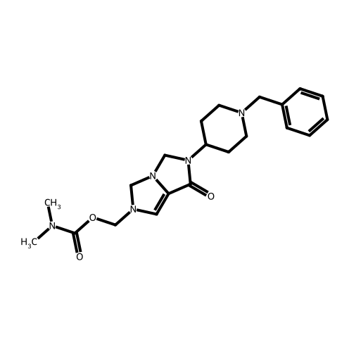 CN(C)C(=O)OCN1C=C2C(=O)N(C3CCN(Cc4ccccc4)CC3)CN2C1